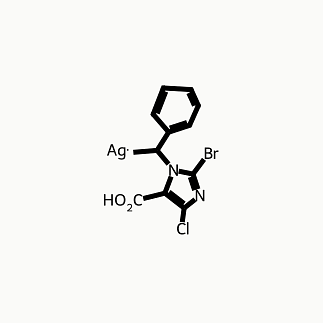 CC(c1ccccc1)n1c(Br)nc(Cl)c1C(=O)O.[Ag]